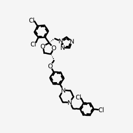 Clc1ccc(CN2CCN(c3ccc(OC[C@@H]4CO[C@@](Cn5cncn5)(c5ccc(Cl)cc5Cl)O4)cc3)CC2)c(Cl)c1